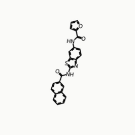 O=C(Nc1nc2ccc(NC(=O)c3ccco3)cc2s1)c1ccc2ccccc2c1